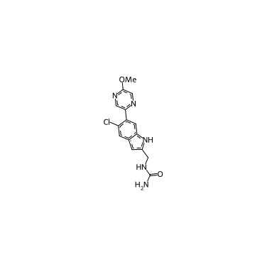 COc1cnc(-c2cc3[nH]c(CNC(N)=O)cc3cc2Cl)cn1